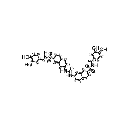 O=C(Nc1ccc2ccc(S(=O)(=O)NCc3ccc(O)c(O)c3)cc2c1)Nc1ccc2ccc(S(=O)(=O)NCc3ccc(O)c(O)c3)cc2c1